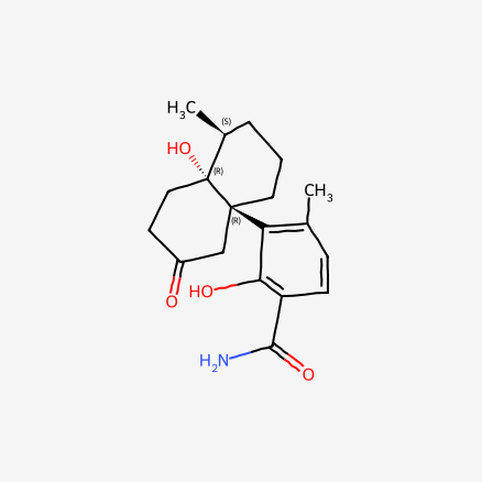 Cc1ccc(C(N)=O)c(O)c1[C@]12CCC[C@H](C)[C@]1(O)CCC(=O)C2